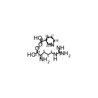 N=C(N)NCCC[C@H](N)C(=O)O.O=C(O)c1cccnc1